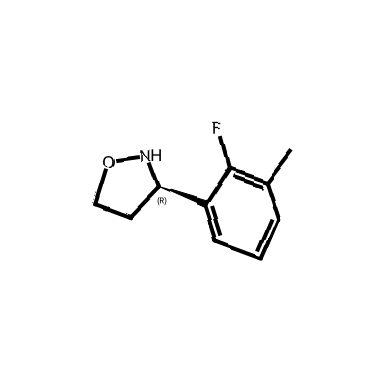 Cc1cccc([C@H]2CCON2)c1F